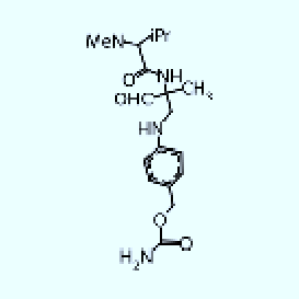 CN[C@H](C(=O)NC(C)(C=O)CNc1ccc(COC(N)=O)cc1)C(C)C